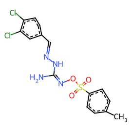 Cc1ccc(S(=O)(=O)ON=C(N)NN=Cc2ccc(Cl)c(Cl)c2)cc1